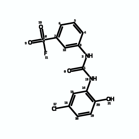 O=C(Nc1cccc(S(=O)(=O)F)c1)Nc1cc(Cl)ccc1O